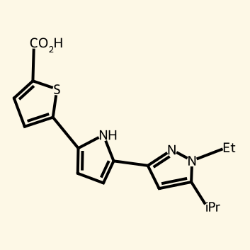 CCn1nc(-c2ccc(-c3ccc(C(=O)O)s3)[nH]2)cc1C(C)C